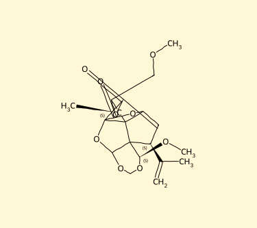 C=C(C)[C@@H]1CC2OC(=O)C34OC5OCO[C@H](OC)C51C23CC(COC)OC(=O)[C@H]4C